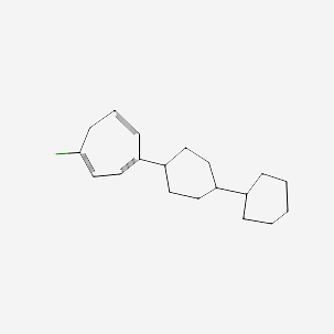 ClC1=CC=C(C2CCC(C3CCCCC3)CC2)C=CC1